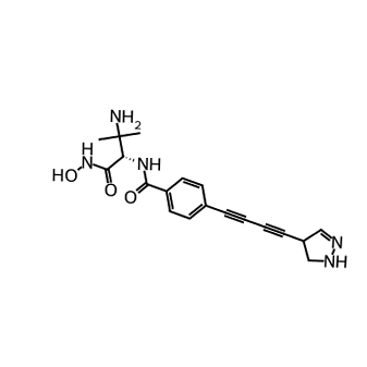 CC(C)(N)[C@H](NC(=O)c1ccc(C#CC#CC2C=NNC2)cc1)C(=O)NO